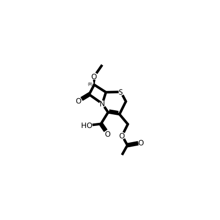 CO[C@@H]1C(=O)N2C(C(=O)O)=C(COC(C)=O)CSC12